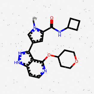 CC(C)n1cc(-c2n[nH]c3ccnc(OC4CCOCC4)c23)cc1C(=O)NC1CCC1